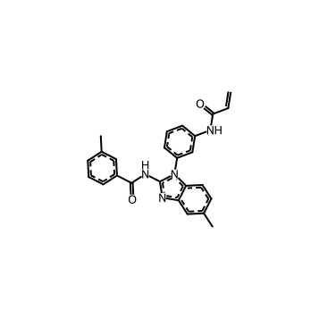 C=CC(=O)Nc1cccc(-n2c(NC(=O)c3cccc(C)c3)nc3cc(C)ccc32)c1